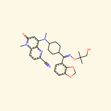 CN(c1cc(=O)n(C)c2ccc(C#N)nc12)C1CCC(/C(=N/OC(C)(C)CO)c2cccc3c2OCO3)CC1